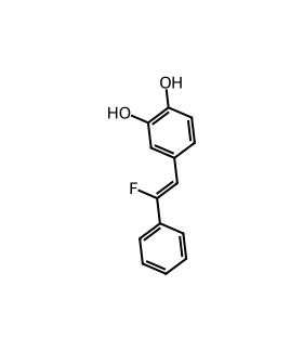 Oc1ccc(C=C(F)c2ccccc2)cc1O